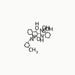 Cc1cccc(/C=N/n2c(=O)c(C3=NS(O)(O)c4ccccc4N3)c(O)c3ccccc32)c1